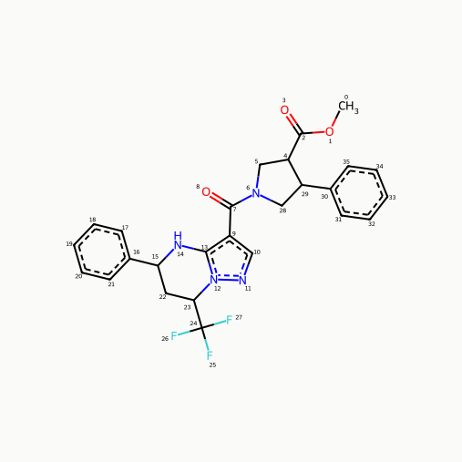 COC(=O)C1CN(C(=O)c2cnn3c2NC(c2ccccc2)CC3C(F)(F)F)CC1c1ccccc1